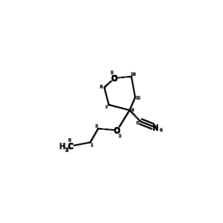 CCCOC1(C#N)CCOCC1